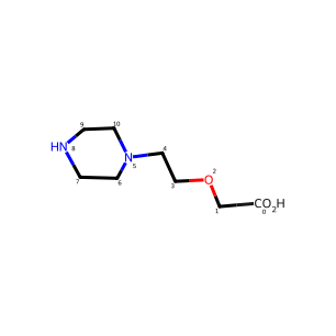 O=C(O)COCCN1CCNCC1